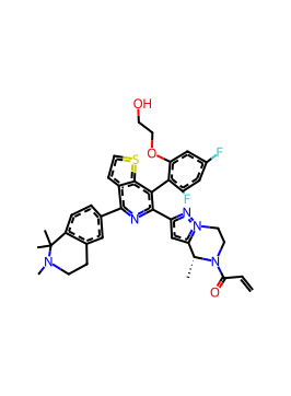 C=CC(=O)N1CCn2nc(-c3nc(-c4ccc5c(c4)CCN(C)C5(C)C)c4ccsc4c3-c3c(F)cc(F)cc3OCCO)cc2[C@H]1C